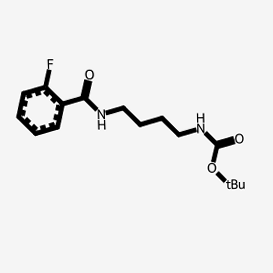 CC(C)(C)OC(=O)NCCCCNC(=O)c1ccccc1F